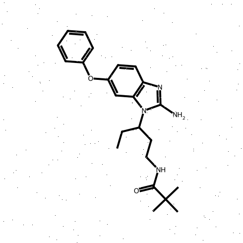 CCC(CCNC(=O)C(C)(C)C)n1c(N)nc2ccc(Oc3ccccc3)cc21